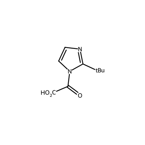 CC(C)(C)c1nccn1C(=O)C(=O)O